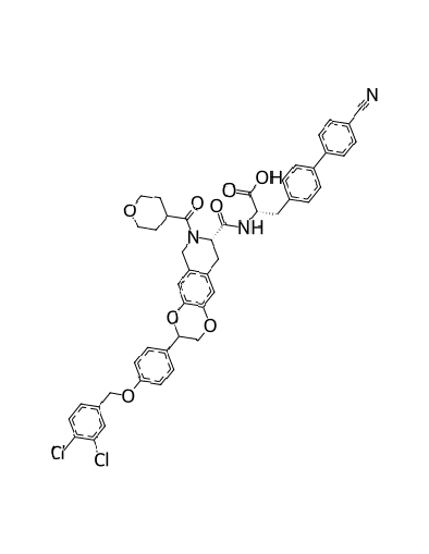 N#Cc1ccc(-c2ccc(C[C@H](NC(=O)[C@@H]3Cc4cc5c(cc4CN3C(=O)C3CCOCC3)OC(c3ccc(OCc4ccc(Cl)c(Cl)c4)cc3)CO5)C(=O)O)cc2)cc1